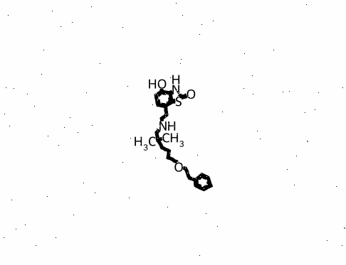 CC(C)(CCCCOCCc1ccccc1)CNCCc1ccc(O)c2[nH]c(=O)sc12